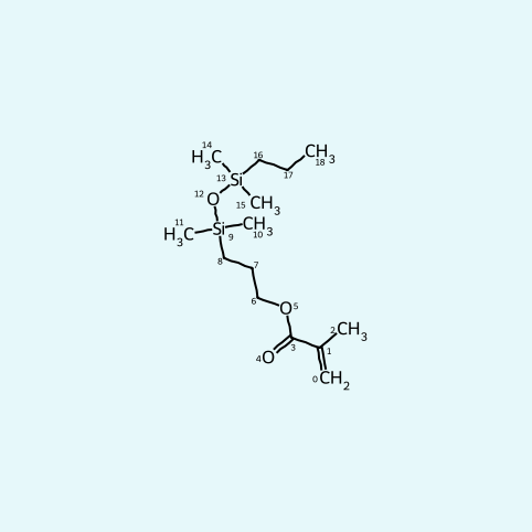 C=C(C)C(=O)OCCC[Si](C)(C)O[Si](C)(C)CCC